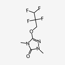 Cn1nc(OCC(F)(F)C(F)F)n(C)c1=O